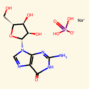 Nc1nc2c(ncn2[C@@H]2O[C@H](CO)[C@@H](O)[C@H]2O)c(=O)[nH]1.O=P([O-])(O)O.[Na+]